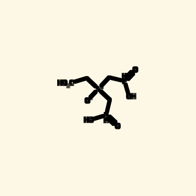 O=C(O)C[N+]([O-])(C[PH](=O)O)C[PH](=O)O